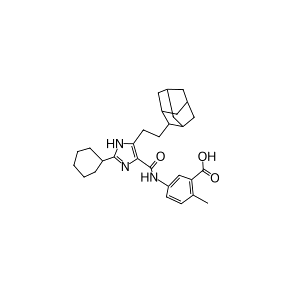 Cc1ccc(NC(=O)c2nc(C3CCCCC3)[nH]c2CCC2C3CC4CC(C3)CC2C4)cc1C(=O)O